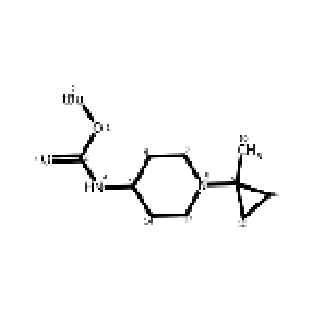 CC(C)(C)OC(=O)NC1CCN(C2(C)CC2)CC1